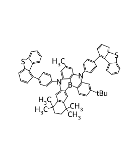 Cc1cc2c3c(c1)N(c1ccc(-c4cccc5sc6ccccc6c45)cc1)c1cc4c(cc1B3c1ccc(C(C)(C)C)cc1N2c1ccc(-c2cccc3sc5ccccc5c23)cc1)C(C)(C)CCC4(C)C